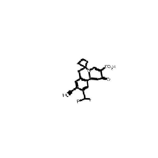 C#Cc1cc2c(cc1C(F)F)-c1cc(=O)c(C(=O)O)cn1C1(CCC1)C2